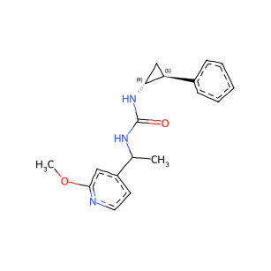 COc1cc(C(C)NC(=O)N[C@@H]2C[C@H]2c2ccccc2)ccn1